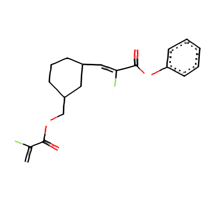 C=C(F)C(=O)OCC1CCCC(/C=C(\F)C(=O)Oc2ccccc2)C1